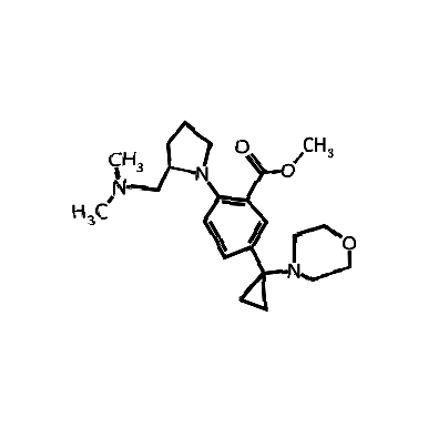 COC(=O)c1cc(C2(N3CCOCC3)CC2)ccc1N1CCCC1CN(C)C